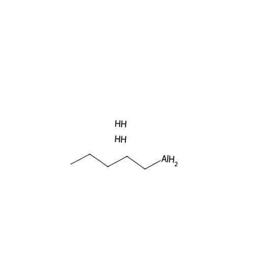 CCCC[CH2][AlH2].[HH].[HH]